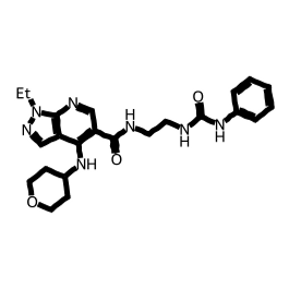 CCn1ncc2c(NC3CCOCC3)c(C(=O)NCCNC(=O)Nc3ccccc3)cnc21